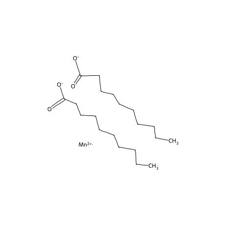 CCCCCCCCCC(=O)[O-].CCCCCCCCCC(=O)[O-].[Mn+2]